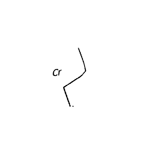 [CH2]CCC.[Cr]